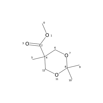 COC(=O)C1(C)COC(C)(C)OC1